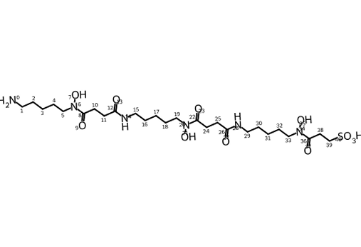 NCCCCCN(O)C(=O)CCC(=O)NCCCCCN(O)C(=O)CCC(=O)NCCCCCN(O)C(=O)CCS(=O)(=O)O